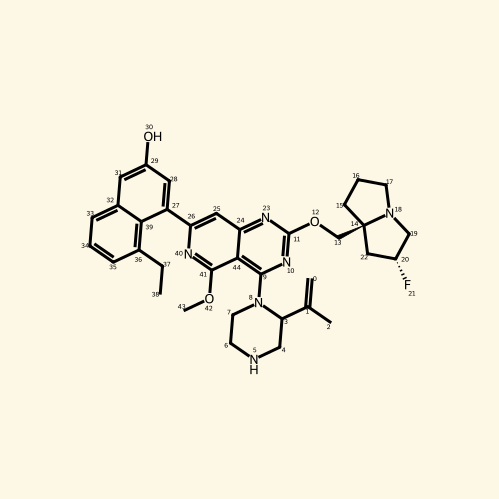 C=C(C)C1CNCCN1c1nc(OC[C@@]23CCCN2C[C@H](F)C3)nc2cc(-c3cc(O)cc4cccc(CC)c34)nc(OC)c12